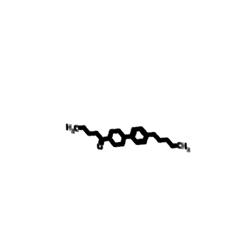 CCCCCc1ccc(C2CCC(C(=O)CCCC)CC2)cc1